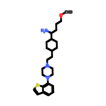 NC(CCCOC=O)C1CCC(CCN2CCN(c3cccc4ccsc34)CC2)CC1